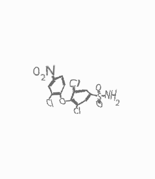 NS(=O)(=O)c1cc(Cl)c(Oc2ccc([N+](=O)[O-])cc2Cl)c(Cl)c1